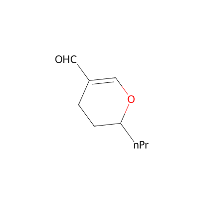 CCCC1CCC(C=O)=CO1